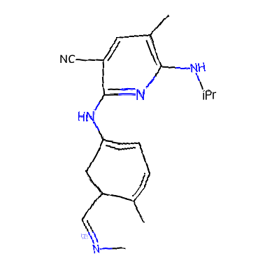 C/N=C\C1CC(Nc2nc(NC(C)C)c(C)cc2C#N)=CC=C1C